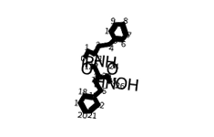 CC(C)CC(CCc1ccccc1)NC(=O)C(CCc1ccccc1)C(=O)NO